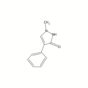 Cn1cc(-c2ccccc2)c(=O)[nH]1